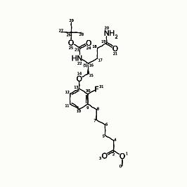 COC(=O)CCCCCc1cccc(OC[C@H](CCC(N)=O)NC(=O)OC(C)(C)C)c1F